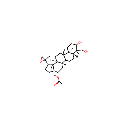 CC(=O)OC[C@]12CC[C@@H](C3(C)CO3)[C@@H]1[C@H]1CC[C@@H]3[C@@]4(C)CCC(O)C(C)(CO)[C@@H]4CC[C@@]3(C)[C@]1(C)CC2